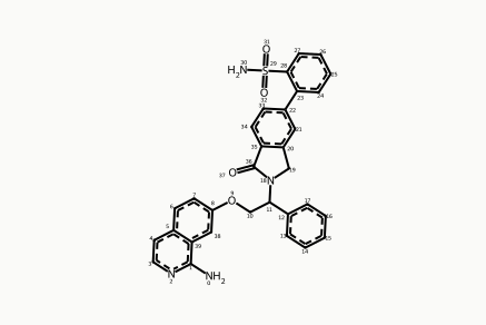 Nc1nccc2ccc(OCC(c3ccccc3)N3Cc4cc(-c5ccccc5S(N)(=O)=O)ccc4C3=O)cc12